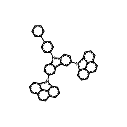 c1ccc(-c2ccc(-n3c4ccc(-n5c6cccc7ccc8cccc5c8c76)cc4c4cc(-n5c6cccc7ccc8cccc5c8c76)ccc43)cc2)cc1